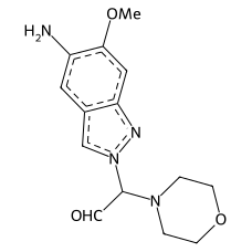 COc1cc2nn(C(C=O)N3CCOCC3)cc2cc1N